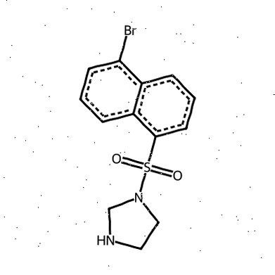 O=S(=O)(c1cccc2c(Br)cccc12)N1CCNC1